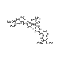 COc1cc2nccc(Oc3ccc(N(C(=O)C(N)=O)c4ccc(Oc5ccnc6cc(OC)c(OC)cc56)cc4)cc3)c2cc1OC